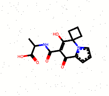 CC(NC(=O)C1=C(O)C2(CCC2)n2cccc2C1=O)C(=O)O